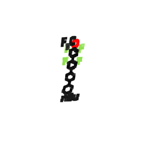 CCCCC1CCC(C2CCC(c3cc(F)c(-c4cc(F)c(OC(F)(F)F)c(F)c4)c(F)c3)CC2)CC1